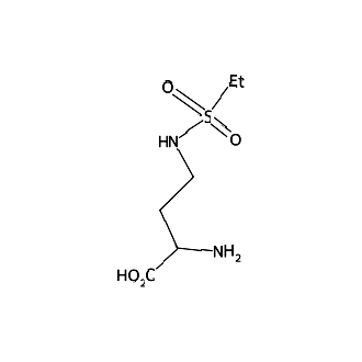 CCS(=O)(=O)NCCC(N)C(=O)O